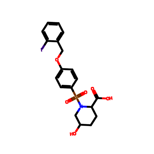 O=C(O)C1CCC(O)CN1S(=O)(=O)c1ccc(OCc2ccccc2I)cc1